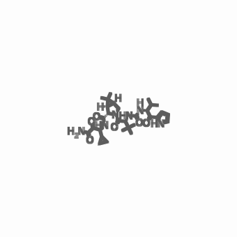 CC(C)[C@H](NC(=O)N[C@H](C(=O)N1C[C@H]2[C@@H]([C@H]1C(=O)NC(C(=O)C(N)=O)C1CC1)C2(C)C)C(C)(C)C)C(=O)c1ccc[nH]1